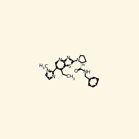 CCc1c(-c2nccn2C)cnc2nc(N3CCC[C@@H]3C(=O)NCc3ccccc3)sc12